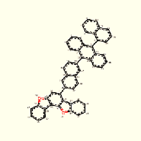 c1ccc2c(-c3c4ccccc4c(-c4ccc5cc(-c6cc7oc8ccccc8c7c7oc8ccccc8c67)ccc5c4)c4ccccc34)cccc2c1